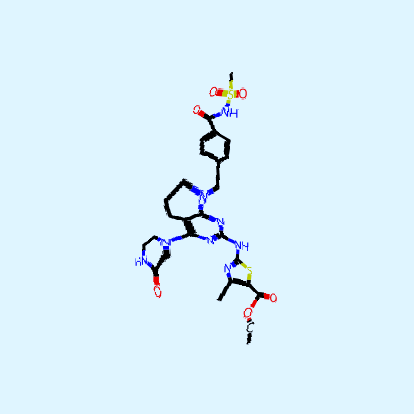 CCOC(=O)c1sc(Nc2nc(N3CCNC(=O)C3)c3c(n2)N(Cc2ccc(C(=O)NS(C)(=O)=O)cc2)CCC3)nc1C